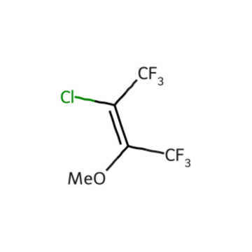 COC(=C(Cl)C(F)(F)F)C(F)(F)F